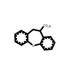 O=C(O)C1Cc2ccccc2Oc2ccccc21